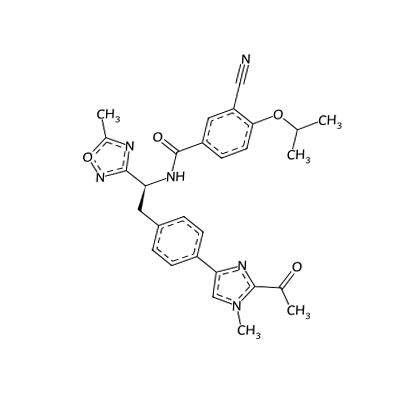 CC(=O)c1nc(-c2ccc(C[C@H](NC(=O)c3ccc(OC(C)C)c(C#N)c3)c3noc(C)n3)cc2)cn1C